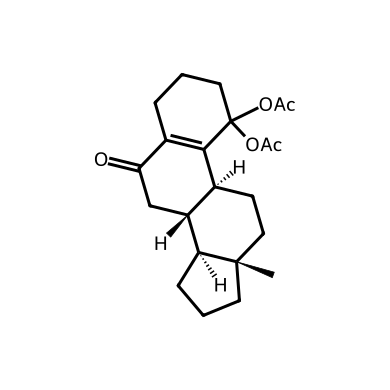 CC(=O)OC1(OC(C)=O)CCCC2=C1[C@H]1CC[C@]3(C)CCC[C@H]3[C@@H]1CC2=O